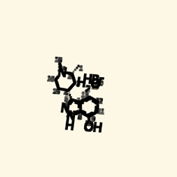 Br.C[C@@H]1C[C@H](c2n[nH]c3c(O)cccc23)CCN1C.O